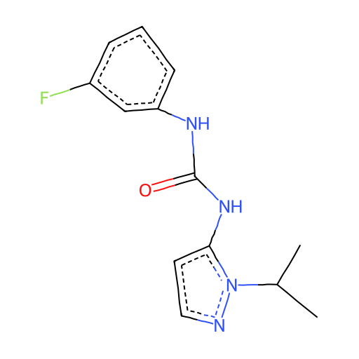 CC(C)n1nccc1NC(=O)Nc1cccc(F)c1